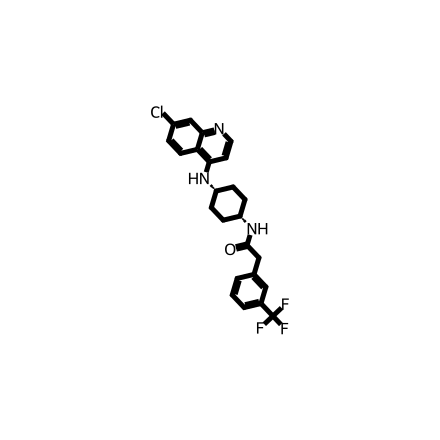 O=C(Cc1cccc(C(F)(F)F)c1)N[C@H]1CC[C@@H](Nc2ccnc3cc(Cl)ccc23)CC1